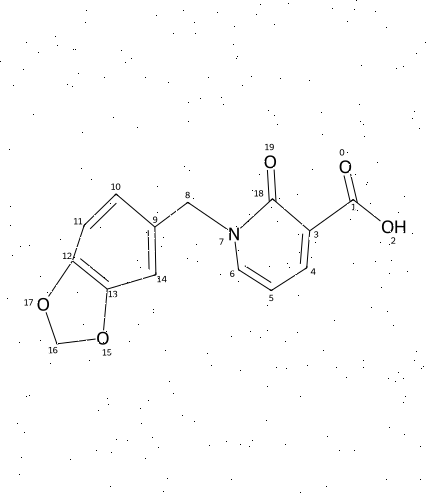 O=C(O)c1cccn(Cc2ccc3c(c2)OCO3)c1=O